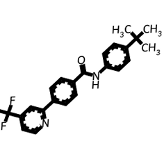 CC(C)(C)c1ccc(NC(=O)c2ccc(-c3cc(C(F)(F)F)ccn3)cc2)cc1